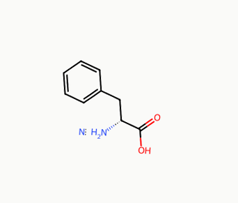 N[C@H](Cc1ccccc1)C(=O)O.[N]